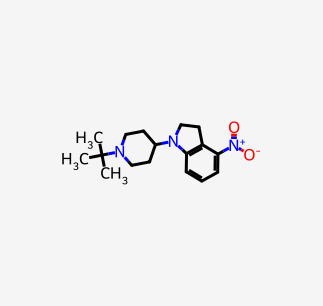 CC(C)(C)N1CCC(N2CCc3c2cccc3[N+](=O)[O-])CC1